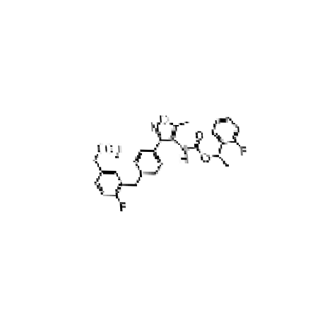 Cc1onc(-c2ccc(Cc3cc(CC(=O)O)ccc3F)cc2)c1NC(=O)O[C@H](C)c1ccccc1F